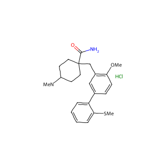 CNC1CCC(Cc2cc(-c3ccccc3SC)ccc2OC)(C(N)=O)CC1.Cl